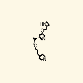 c1cc(CCCOC[C@H]2C[C@@H]2c2cncc(OC[C@@H]3CCN3)c2)ccn1